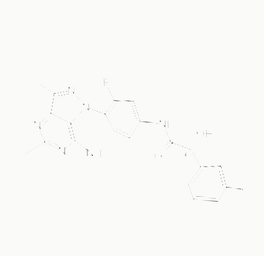 Cc1nc(N)c2c(n1)c(C)nn2-c1ccc(NC(=O)[C@H](O)c2cccc(Cl)c2)cc1F